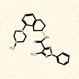 Cc1nn(-c2ccccc2)nc1C(=O)N[C@H]1CCc2cccc(N3CCN(C)CC3)c2C1